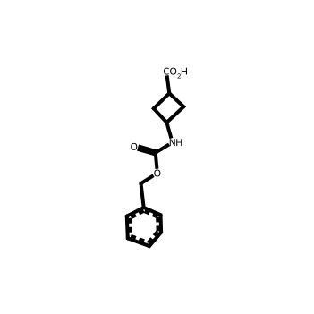 O=C(NC1CC(C(=O)O)C1)OCc1ccccc1